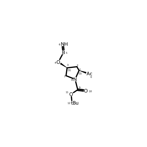 CC(=O)[C@@H]1C[C@H](OB=N)CN1C(=O)OC(C)(C)C